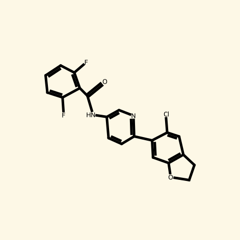 O=C(Nc1ccc(-c2cc3c(cc2Cl)CCO3)nc1)c1c(F)cccc1F